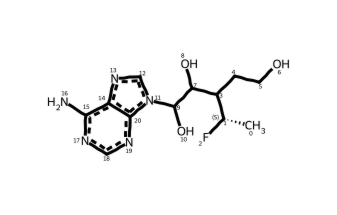 C[C@H](F)C(CCO)C(O)C(O)n1cnc2c(N)ncnc21